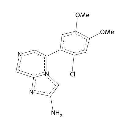 COc1cc(Cl)c(-c2cncc3nc(N)cn23)cc1OC